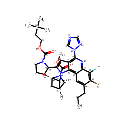 CC(C)(C)OC(=O)N1C[C@H]2C[C@@H]1[C@H]2n1c([C@H]2CCCN2C(=O)OCC[Si](C)(C)C)cc2c(-n3cncn3)nc3c(F)c(Br)c(CCC#N)cc3c21